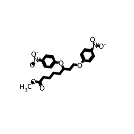 COC(=O)CCCCC(CCOc1ccc([N+](=O)[O-])cc1)Oc1ccc([N+](=O)[O-])cc1